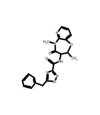 CC1Oc2cccnc2N(C)C(=O)C1NC(=O)c1noc(Cc2ccccc2)n1